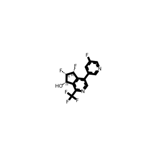 O[C@H]1c2c(C(F)(F)F)ncc(-c3cncc(F)c3)c2[C@@H](F)[C@H]1F